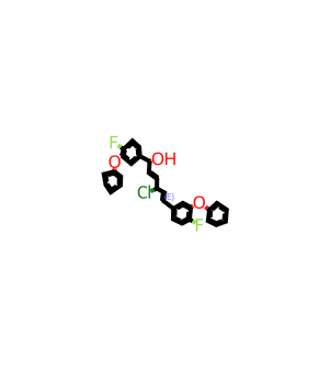 OC(C=CC(Cl)/C=C/c1ccc(F)c(Oc2ccccc2)c1)c1ccc(F)c(Oc2ccccc2)c1